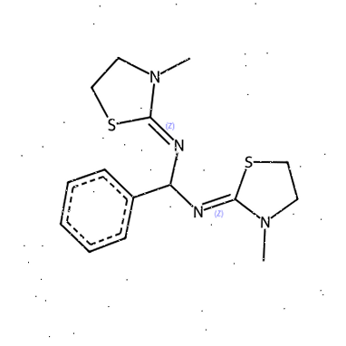 CN1CCS/C1=N\C(/N=C1\SCCN1C)c1ccccc1